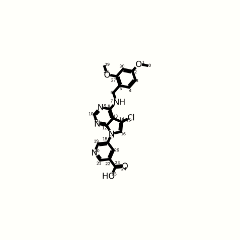 COc1ccc(CNc2ncnc3c2c(Cl)cn3-c2cncc(C(=O)O)c2)c(OC)c1